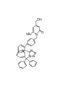 CCCCc1cc(CO)cc(=O)n1Cc1ccc(-c2ccccc2-c2nnnn2C(c2ccccc2)(c2ccccc2)c2ccccc2)cc1